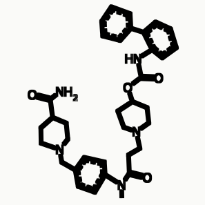 CN(C(=O)CCN1CCC(OC(=O)Nc2ccccc2-c2ccccc2)CC1)c1ccc(CN2CCC(C(N)=O)CC2)cc1